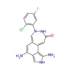 Nc1cc2c(c3c(N)[nH]cc13)=CC(=O)NN(c1cc(F)ccc1Cl)C=2